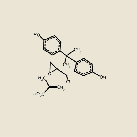 C=C(C)C(=O)O.CC(C)(c1ccc(O)cc1)c1ccc(O)cc1.ClCC1CO1